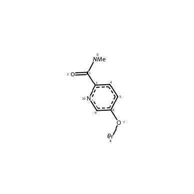 CNC(=O)c1ccc(OC(C)C)cn1